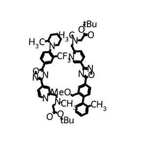 CC1CCCCN1c1ccc(-c2nc(-c3ccnc(CN(C)CC(=O)OC(C)(C)C)c3)no2)cc1C(F)(F)F.COCc1cc(-c2nc(-c3ccc(CN(C)CC(=O)OC(C)(C)C)nc3)no2)ccc1-c1ccccc1C